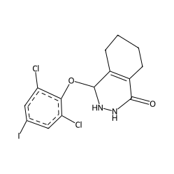 O=C1NNC(Oc2c(Cl)cc(I)cc2Cl)C2=C1CCCC2